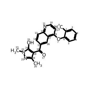 Cc1ccccc1Oc1ccnc2ccc(C(=O)c3c(C)nn(C)c3O)cc12